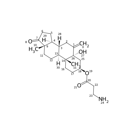 C=C1C[C@H]2[C@@H]3CCC(=O)[C@@]3(C)CC[C@@H]2[C@@]2(C)CC[C@H](OC(=O)CCN)C[C@]12O